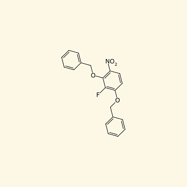 O=[N+]([O-])c1ccc(OCc2ccccc2)c(F)c1OCc1ccccc1